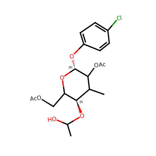 CC(=O)OCC1O[C@H](Oc2ccc(Cl)cc2)C(OC(C)=O)C(C)[C@H]1OC(C)O